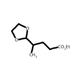 CCOC(=O)CCC(C)C1OCCO1